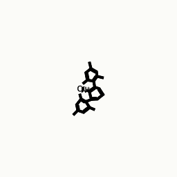 [C-]#[N+]c1c(-c2c(C)cc(C)cc2C)cccc1-c1c(C)cc(C)cc1C